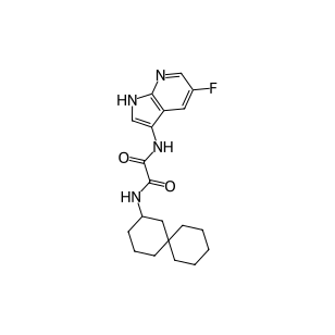 O=C(Nc1c[nH]c2ncc(F)cc12)C(=O)NC1CCCC2(CCCCC2)C1